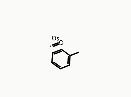 Cc1ccccc1.[C]=O.[Os]